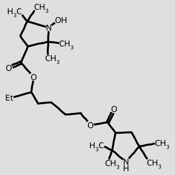 CCC(CCCCOC(=O)C1CC(C)(C)NC1(C)C)OC(=O)C1CC(C)(C)N(O)C1(C)C